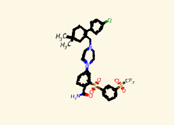 CC1(C)CCC(c2ccc(Cl)cc2)=C(CN2CCN(c3ccc(C(N)=O)c(S(=O)(=O)c4cccc(S(=O)(=O)C(F)(F)F)c4)c3)CC2)C1